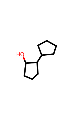 OC1CCCC1C1CCCC1